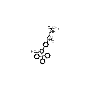 CC(=O)NC[C@H]1CN(c2ccc(C3=C[C@@H](C(c4ccccc4)(c4ccccc4)c4ccccc4)N(CO)C3)cc2)C(=O)O1